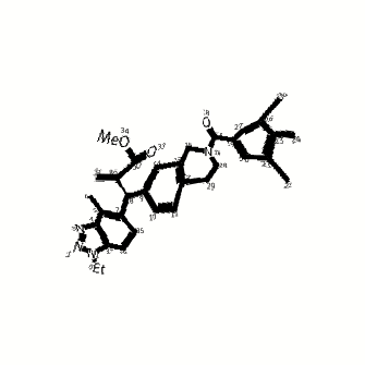 CCn1nnc2c(C)c([C@H](c3ccc4c(c3)CN(C(=O)c3cc(C)c(C)c(C)c3)CC4)C(C)C(=O)OC)ccc21